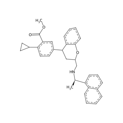 COC(=O)c1cc(C2CC(CN[C@H](C)c3cccc4ccccc34)Oc3ccccc32)ccc1C1CC1